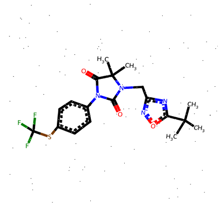 CC(C)(C)c1nc(CN2C(=O)N(c3ccc(SC(F)(F)F)cc3)C(=O)C2(C)C)no1